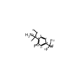 CCC(C)(N)c1ccc(C(F)(F)F)cc1F